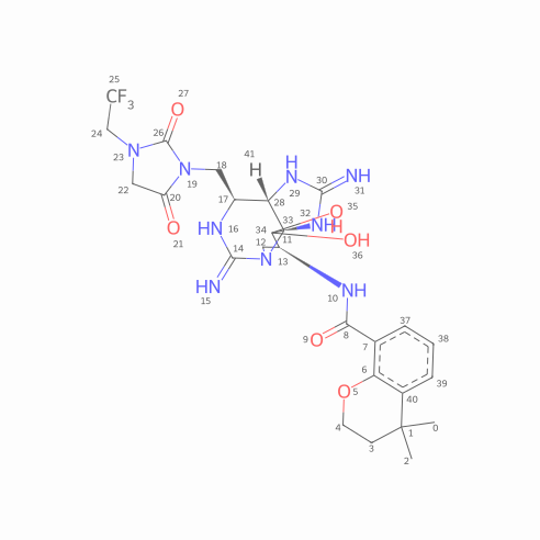 CC1(C)CCOc2c(C(=O)N[C@H]3CN4C(=N)N[C@@H](CN5C(=O)CN(CC(F)(F)F)C5=O)[C@@H]5NC(=N)N[C@@]54C3(O)O)cccc21